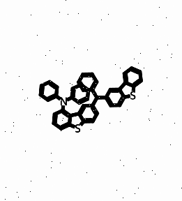 c1ccc(C(c2ccc3sc4ccccc4c3c2)c2ccc3sc4cccc(N(c5ccccc5)c5ccccc5)c4c3c2)cc1